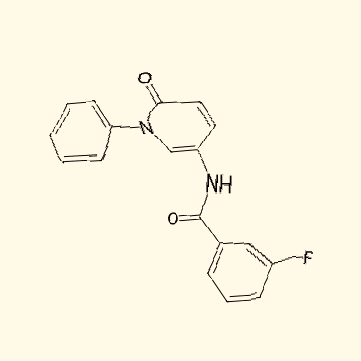 O=C(Nc1ccc(=O)n(-c2ccccc2)c1)c1cccc(F)c1